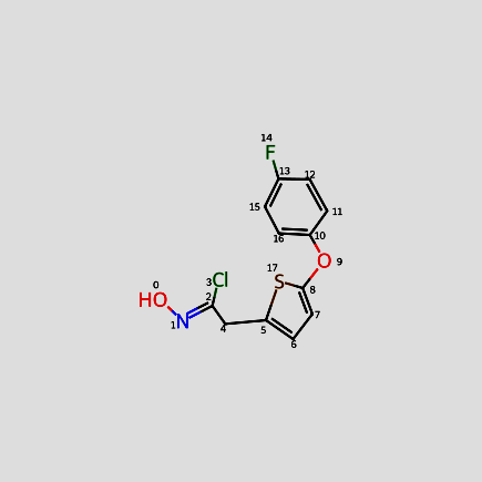 ON=C(Cl)Cc1ccc(Oc2ccc(F)cc2)s1